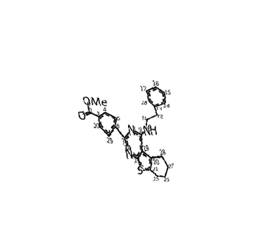 COC(=O)c1ccc(-c2nc(NCCc3ccccc3)c3c4c(sc3n2)CCCC4)cc1